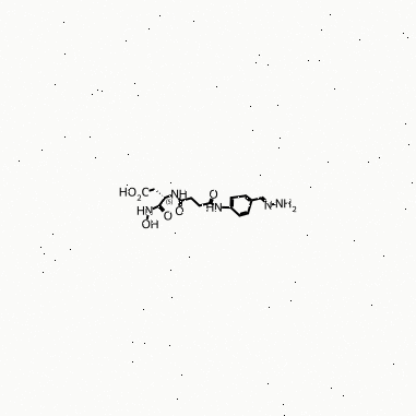 NN=Cc1ccc(NC(=O)CCC(=O)N[C@@H](CC(=O)O)C(=O)NO)cc1